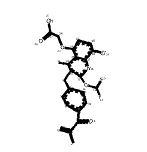 C=C(C)C(=O)c1ccc(Cc2c(OC(F)F)nc3c(Cl)ccc(OCC(=O)O)c3c2C)cc1